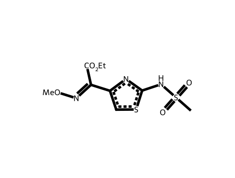 CCOC(=O)C(=NOC)c1csc(NS(C)(=O)=O)n1